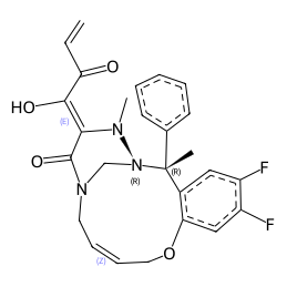 C=CC(=O)/C(O)=C1/C(=O)N2C/C=C\COc3cc(F)c(F)cc3[C@@](C)(c3ccccc3)[N@@](C2)N1C